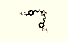 C=Cc1ccc(CCSc2nnc(SCCc3cccc(C)c3)s2)cc1